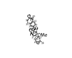 COC1(c2cnc(S(=O)(=O)c3ccc4c(c3)CCC(=O)N4C)s2)CCOC(C)C1